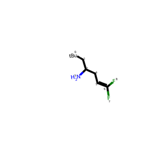 CC(C)(C)CC(N)CC=C(F)F